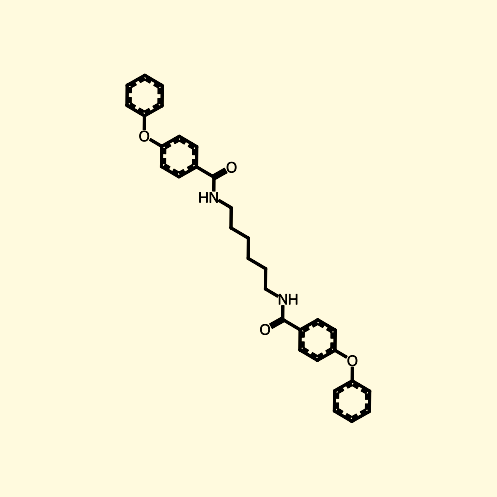 O=C(NCCCCCCNC(=O)c1ccc(Oc2ccccc2)cc1)c1ccc(Oc2ccccc2)cc1